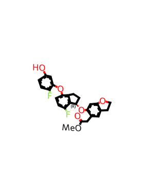 COC(=O)Cc1cc2c(cc1O[C@@H]1CCc3c(Oc4cc(O)ccc4F)ccc(F)c31)OCC2